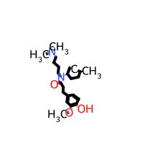 COc1cc(CCC(=O)N(CCCCN(C)C)[C@H]2CC[C@H](C)CC2)ccc1O